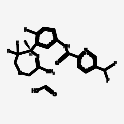 C[C@]1(c2cc(NC(=O)c3ccc(C(F)F)cn3)ccc2F)N=C(N)COCC1(F)F.O=CO